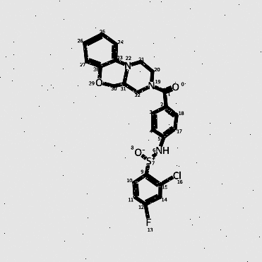 O=C(c1ccc(N[S+]([O-])c2ccc(F)cc2Cl)cc1)N1CCN2c3ccccc3OCC2C1